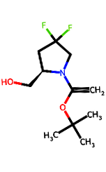 C=C(OC(C)(C)C)N1CC(F)(F)C[C@@H]1CO